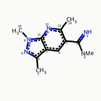 CNC(=N)c1cc2c(C)nn(C)c2nc1C